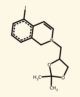 CC1(C)OCC(CN2C=Cc3c(I)cccc3C2)O1